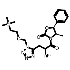 CCCC(Cc1nnnn1COCC[Si](C)(C)C)C(=O)N1C(=O)O[C@@H](c2ccccc2)[C@H]1C